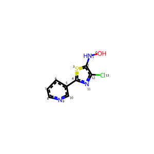 ONc1sc(-c2cccnc2)nc1Cl